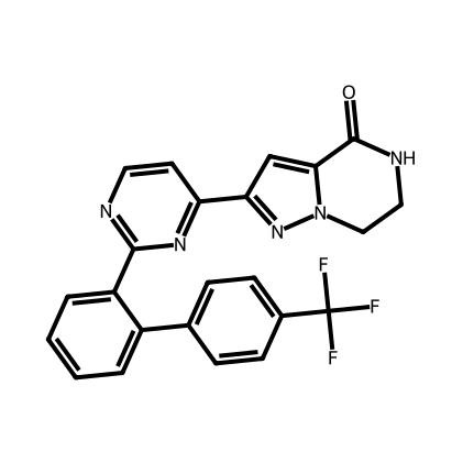 O=C1NCCn2nc(-c3ccnc(-c4ccccc4-c4ccc(C(F)(F)F)cc4)n3)cc21